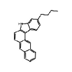 CCCCc1ccc2c(c1)[nH]c1ccc3cc4ccccc4cc3c12